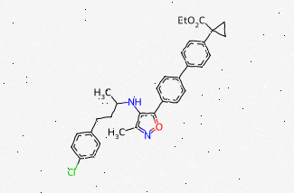 CCOC(=O)C1(c2ccc(-c3ccc(-c4onc(C)c4NC(C)CCc4ccc(Cl)cc4)cc3)cc2)CC1